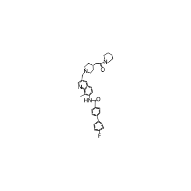 Cc1c(NC(=O)c2ccc(-c3ccc(F)cc3)cc2)ccc2cc(CN3CCC(CC(=O)N4CCCCC4)CC3)cnc12